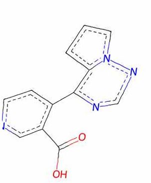 O=C(O)c1cnccc1-c1ncnn2cccc12